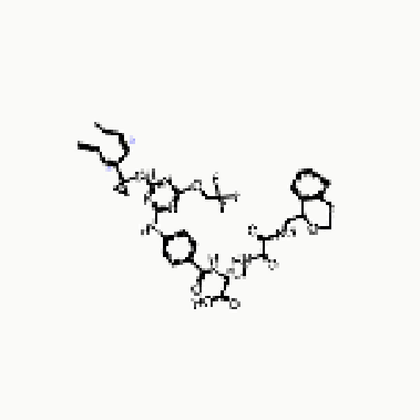 C=C/C=C(\C=C/CC)C1(Nc2nc(Nc3ccc(C(=O)N[C@H](CNC(=O)C(=O)NCC4OCCc5ccccc54)C(=O)O)cc3)nc(OCC(F)(F)F)n2)CC1